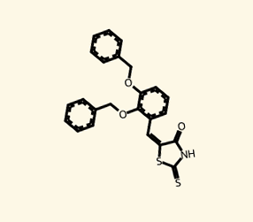 O=C1NC(=S)SC1=Cc1cccc(OCc2ccccc2)c1OCc1ccccc1